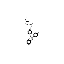 CC1=C(c2ccc(F)cc2)C(c2ccc(OCC(C)N3CCC(CF)C3)cc2)Oc2ccc(O)cc21